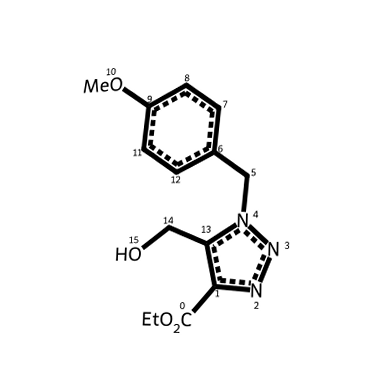 CCOC(=O)c1nnn(Cc2ccc(OC)cc2)c1CO